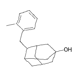 Cc1ccccc1CC1C2CC3CC1CC(O)(C3)C2